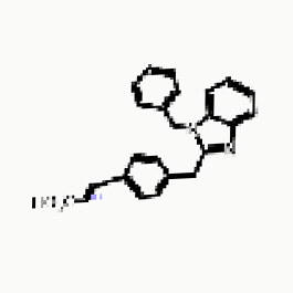 O=C(O)/C=C/c1ccc(Cc2nc3ccccc3n2Cc2ccccc2)cc1